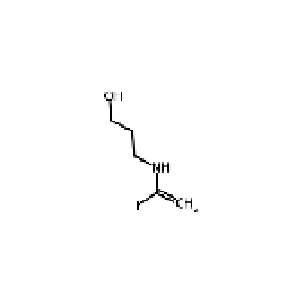 C=C(I)NCCCO